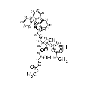 C=CC(=O)OCC(O)COCC(CC)(COCC(O)C[PH](c1ccccc1)(c1ccccc1)c1ccccc1)C(=O)CC(CO)OC(=O)C=C